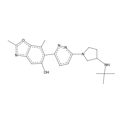 Cc1nc2cc(O)c(-c3ccc(N4CCC(NC(C)(C)C)C4)nn3)c(C)c2o1